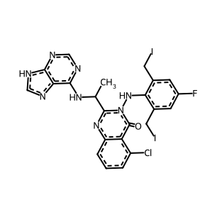 CC(Nc1ncnc2[nH]cnc12)c1nc2cccc(Cl)c2c(=O)n1Nc1c(CI)cc(F)cc1CI